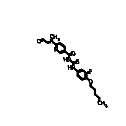 CCCCCOc1ccc(NC(=S)NC(=O)c2ccc(N(C)CC=O)nc2)cc1F